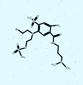 CN(C)CCCNC(=O)c1cc(N(CCBr)CCOS(C)(=O)=O)c(S(C)(=O)=O)cc1[N+](=O)[O-]